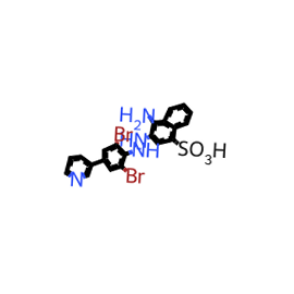 Nc1c(NNc2c(Br)cc(-c3cccnc3)cc2Br)cc(S(=O)(=O)O)c2ccccc12